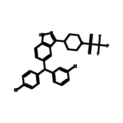 O=S(=O)(N1CCC(c2n[nH]c3ccc(C(c4ccc(Cl)cc4)c4cccc(Cl)c4)cc23)CC1)C(F)(F)F